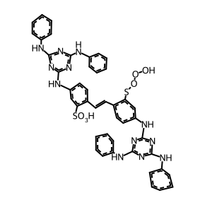 O=S(=O)(O)c1cc(Nc2nc(Nc3ccccc3)nc(Nc3ccccc3)n2)ccc1/C=C/c1ccc(Nc2nc(Nc3ccccc3)nc(Nc3ccccc3)n2)cc1SOOO